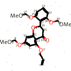 C=CCOc1cc(OCOC)cc2c1C(=O)CC(c1c(OCOC)cccc1OCOC)O2